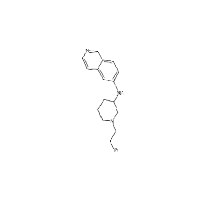 CC(C)CCN1CCCC(Nc2ccc3cnccc3c2)C1